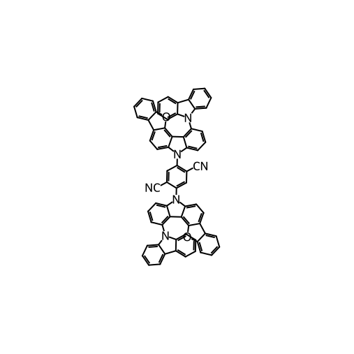 N#Cc1cc(-n2c3cccc(-n4c5ccccc5c5ccccc54)c3c3c4oc5ccccc5c4ccc32)c(C#N)cc1-n1c2cccc(-n3c4ccccc4c4ccccc43)c2c2c3oc4ccccc4c3ccc21